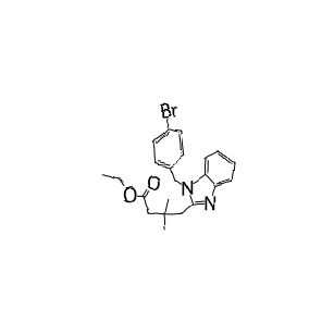 CCOC(=O)CC(C)(C)Cc1nc2ccccc2n1Cc1ccc(Br)cc1